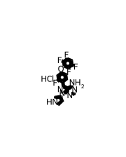 Cl.Nc1ncnc2c1c(-c1ccc(Oc3c(F)c(F)cc(F)c3F)cc1F)nn2[C@@H]1CCNC1